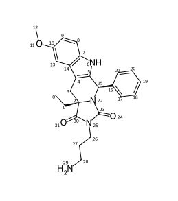 CC[C@@]12Cc3c([nH]c4ccc(OC)cc34)[C@@H](c3ccccc3)N1C(=O)N(CCCN)C2=O